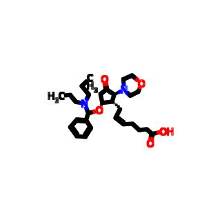 CCCN(CCC)C(O[C@@H]1CC(=O)[C@@H](N2CCOCC2)[C@@H]1C/C=C\CCCC(=O)O)c1ccccc1